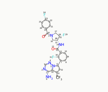 Nc1ncnn2c(-c3cccc(C(=O)N[C@@H]4CN(C(=O)c5ccc(F)cc5)C[C@@H]4F)c3F)cc(C(F)(F)F)c12